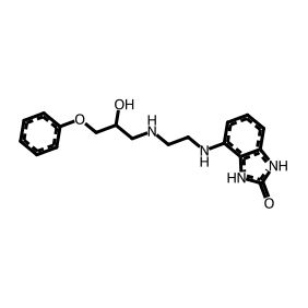 O=c1[nH]c2cccc(NCCNCC(O)COc3ccccc3)c2[nH]1